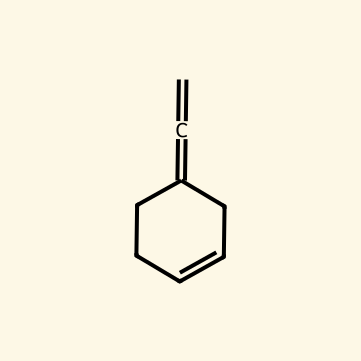 C=C=C1CC=CCC1